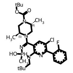 C[C@@H]1CN(C2=N[PH](C)(O)N(CC(C)(C)C)c3nc(-c4ccccc4F)c(Cl)cc32)[C@@H](C)CN1C(=O)OC(C)(C)C